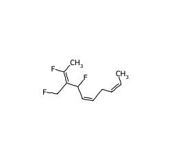 C/C=C\C/C=C\C(F)/C(CF)=C(\C)F